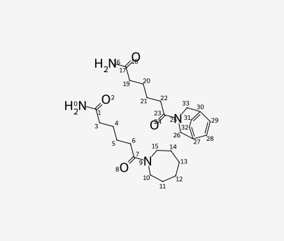 NC(=O)CCCCC(=O)N1CCCCCC1.NC(=O)CCCCC(=O)N1Cc2ccc(cc2)C1